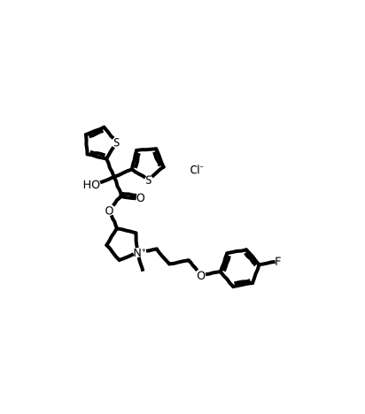 C[N+]1(CCCOc2ccc(F)cc2)CCC(OC(=O)C(O)(c2cccs2)c2cccs2)C1.[Cl-]